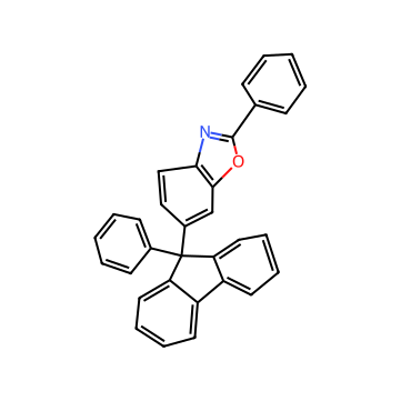 c1ccc(-c2nc3ccc(C4(c5ccccc5)c5ccccc5-c5ccccc54)cc3o2)cc1